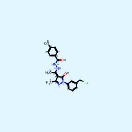 CC1=NN(c2cccc(CF)c2)C(=O)/C1=C(/C)NNC(=O)c1ccc(N=O)cc1